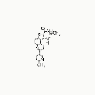 Cc1ccc(-c2ccc3c4c(ccc3n2)SC2C(=O)N[C@H](C)CNC42)cn1